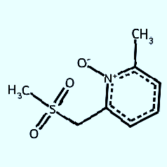 Cc1cccc(CS(C)(=O)=O)[n+]1[O-]